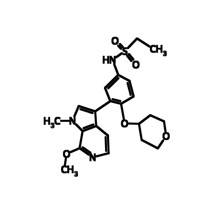 CCS(=O)(=O)Nc1ccc(OC2CCOCC2)c(-c2cn(C)c3c(OC)nccc23)c1